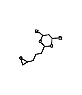 CCC1CC(CC)OC(CCCC2CO2)O1